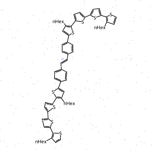 CCCCCCc1ccsc1-c1ccc(-c2ccc(-c3sc(-c4ccc(/C=C/c5ccc(-c6cc(CCCCCC)c(-c7ccc(-c8ccc(-c9sccc9CCCCCC)s8)s7)s6)cc5)cc4)cc3CCCCCC)s2)s1